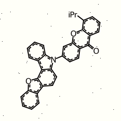 CC(C)c1cccc2c(=O)c3ccc(-n4c5ccccc5c5c6oc7ccccc7c6ccc54)cc3oc12